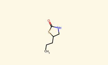 CCCC1CNC(=O)S1